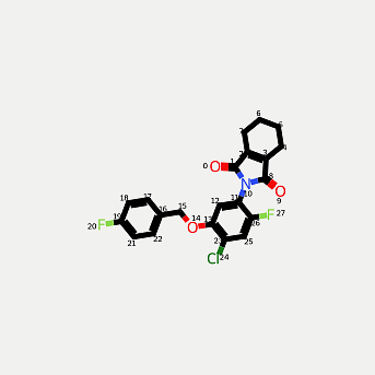 O=C1C2=C(CCCC2)C(=O)N1c1cc(OCc2ccc(F)cc2)c(Cl)cc1F